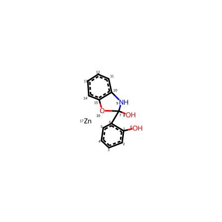 Oc1ccccc1C1(O)Nc2ccccc2O1.[Zn]